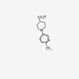 O=C(O)C1CCN(c2ccc(C(F)(F)F)nc2)CC1